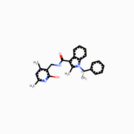 Cc1cc(C)c(CNC(=O)c2c(C)n([C@@H](C)c3ccccc3)c3ccccc23)c(O)n1